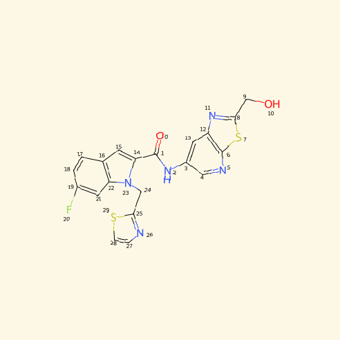 O=C(Nc1cnc2sc(CO)nc2c1)c1cc2ccc(F)cc2n1Cc1nccs1